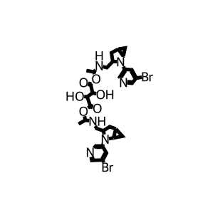 CC(NCC1CC2CC2N1c1cncc(Br)c1)OC(=O)C(O)C(O)C(=O)OC(C)NCC1CC2CC2N1c1cncc(Br)c1